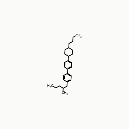 CCCCC1CCC(c2ccc(-c3ccc(CC(C)CCC)cc3)cc2)CC1